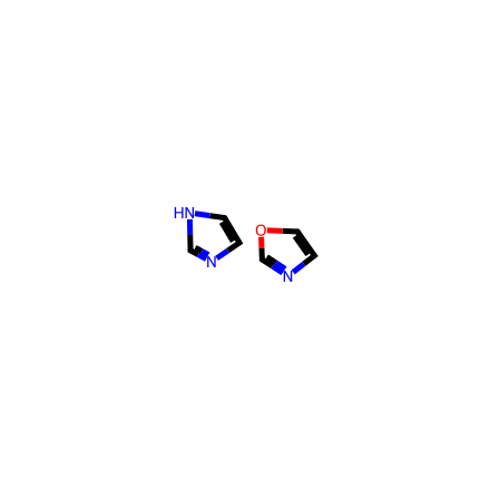 c1c[nH]cn1.c1cocn1